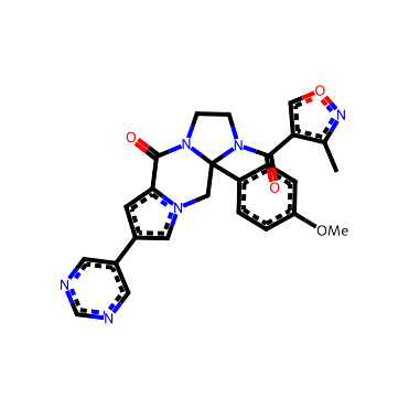 COc1ccc(C23Cn4cc(-c5cncnc5)cc4C(=O)N2CCN3C(=O)c2conc2C)cc1